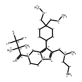 COCC1(COC)CCC(c2c(CN(C)CCN)nn3c2CN(C(=O)C(C)(C)C(F)(F)F)CC3)CC1